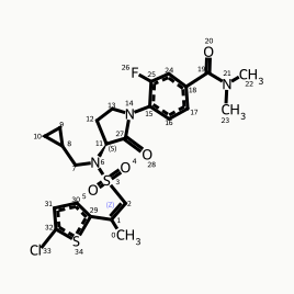 C/C(=C/S(=O)(=O)N(CC1CC1)[C@H]1CCN(c2ccc(C(=O)N(C)C)cc2F)C1=O)c1ccc(Cl)s1